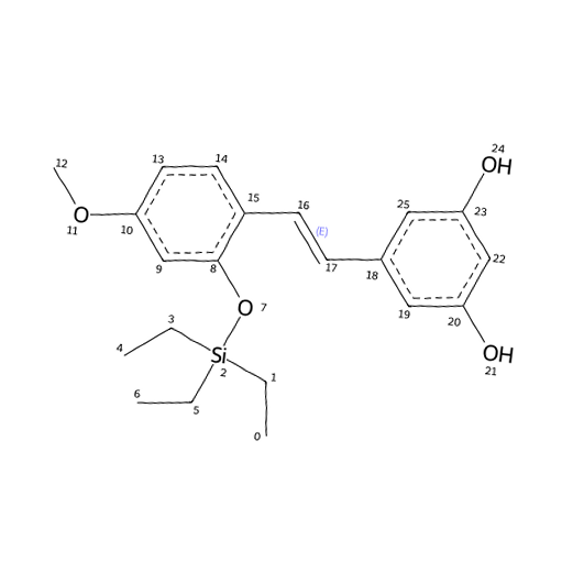 CC[Si](CC)(CC)Oc1cc(OC)ccc1/C=C/c1cc(O)cc(O)c1